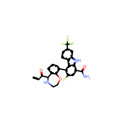 C=CC(=O)C1NCCOc2c(-c3c(F)cc(C(N)=O)c4[nH]c5cc(C(F)(F)F)ccc5c34)cccc21